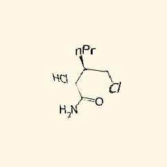 CCC[C@@H](CCl)CC(N)=O.Cl